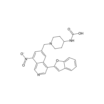 O=C(O)NC1CCN(Cc2cc([N+](=O)[O-])c3cncc(-c4cc5ccccc5o4)c3c2)CC1